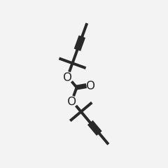 CC#CC(C)(C)OC(=O)OC(C)(C)C#CC